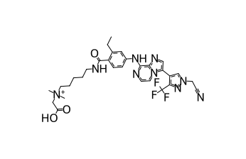 CCc1cc(Nc2nccn3c(-c4cn(CC#N)nc4C(F)(F)F)cnc23)ccc1C(=O)NCCCCC[N+](C)(C)CC(=O)O